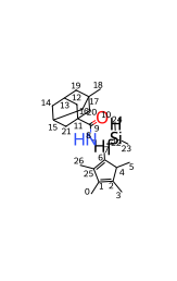 CC1=C(C)C(C)[C]([Hf]([NH]C(=O)C23CC4CC(CC(C)(C4)C2)C3)[SiH](C)C)=C1C